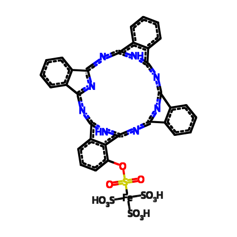 O=[S](=O)(O)[Fe]([S](=O)(=O)O)([S](=O)(=O)O)[S](=O)(=O)Oc1cccc2c3nc4nc(nc5[nH]c(nc6nc(nc([nH]3)c12)-c1ccccc1-6)c1ccccc51)-c1ccccc1-4